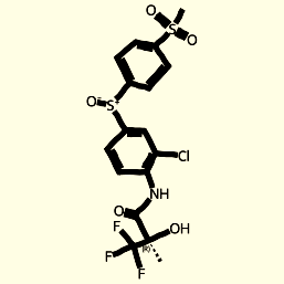 C[C@@](O)(C(=O)Nc1ccc([S+]([O-])c2ccc(S(C)(=O)=O)cc2)cc1Cl)C(F)(F)F